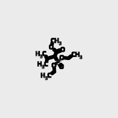 CCOP(=O)(OCC)C(C(=O)OC)C(C)C